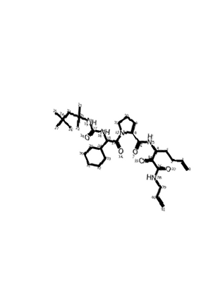 C=CCCC(NC(=O)[C@@H]1CCCN1C(=O)C(NC(=O)NC(C)(C)CC(C)(C)C)C1CCCCC1)C(=O)C(=O)NCC=C